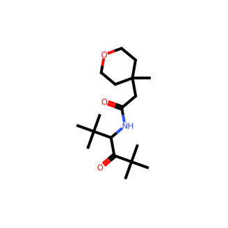 CC1(CC(=O)NC(C(=O)C(C)(C)C)C(C)(C)C)CCOCC1